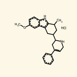 COc1ccc2[nH]c3c(c2c1)CC(C1CC(c2ccccc2)=CCN1)CC3C.Cl